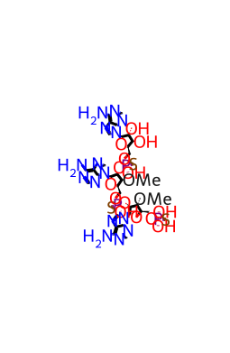 CO[C@H]1[C@@H](OP(O)(=S)OC[C@H]2O[C@@H](n3cnc4c(N)ncnc43)[C@H](OP(O)(=S)OC[C@H]3O[C@@H](n4cnc5c(N)ncnc54)[C@H](O)[C@@H]3O)[C@@H]2OC)[C@H](n2cnc3c(N)ncnc32)O[C@@H]1COP(O)(O)=S